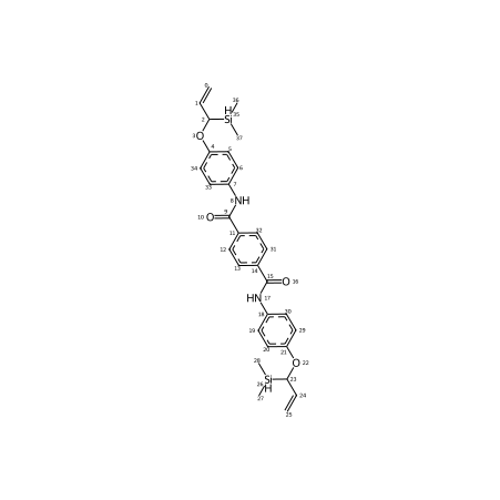 C=CC(Oc1ccc(NC(=O)c2ccc(C(=O)Nc3ccc(OC(C=C)[SiH](C)C)cc3)cc2)cc1)[SiH](C)C